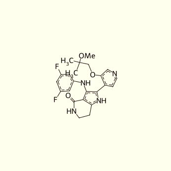 COC(C)(C)COc1cnccc1-c1[nH]c2c(c1Nc1cc(F)cc(F)c1)C(=O)NCC2